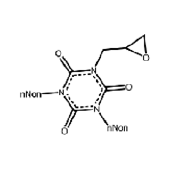 CCCCCCCCCn1c(=O)n(CCCCCCCCC)c(=O)n(CC2CO2)c1=O